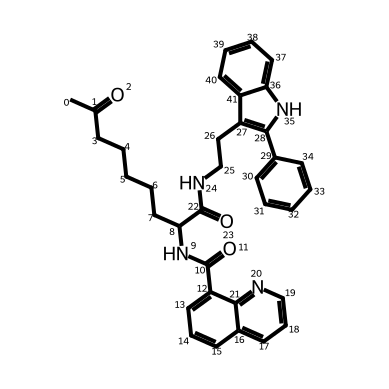 CC(=O)CCCCCC(NC(=O)c1cccc2cccnc12)C(=O)NCCc1c(-c2ccccc2)[nH]c2ccccc12